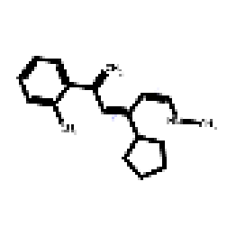 C=C(/C=C(\C=C/NC)C1CCCC1)c1ccccc1C